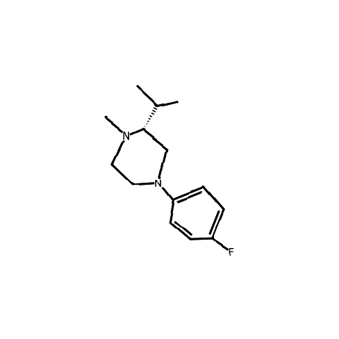 CC(C)[C@@H]1CN(c2ccc(F)cc2)CCN1C